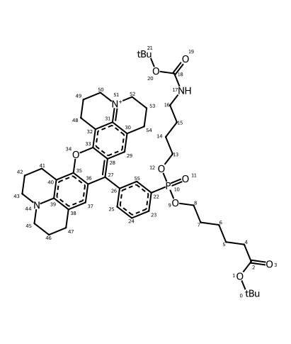 CC(C)(C)OC(=O)CCCCCOP(=O)(OCCCCNC(=O)OC(C)(C)C)c1cccc(C2=c3cc4c5c(c3Oc3c2cc2c6c3CCCN6CCC2)CCC[N+]=5CCC4)c1